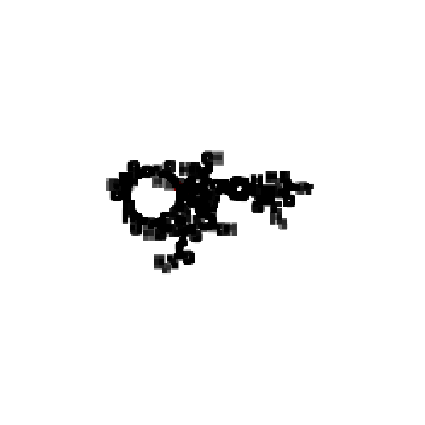 CC[C@H](C)[C@@H]1NC(=O)CNC(=O)C2Cc3c([nH]c4cc(OCc5ccc(NC(=O)[C@H](C)NC(=O)C(N)C(C)C)cc5)ccc34)[S+]([O-])CC(NC(=O)CNC1=O)C(=O)N[C@@H](CCC(N)=O)C(=O)N1C[C@H](O)C[C@H]1C(=O)N[C@@H]([C@@H](C)[C@@H](O)CO)C(=O)N2